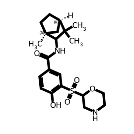 CC1(C)C(NC(=O)c2ccc(O)c(S(=O)(=O)C3CNCCO3)c2)[C@@]2(C)CC[C@@H]1C2